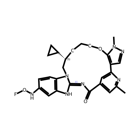 Cc1cc2cc(n1)-c1cnn(C)c1OCCC[C@@H](C1CC1)CN1/C(=N/C2=O)Nc2cc(NOF)ccc21